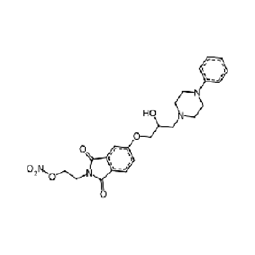 O=C1c2ccc(OCC(O)CN3CCN(c4ccccc4)CC3)cc2C(=O)N1CCO[N+](=O)[O-]